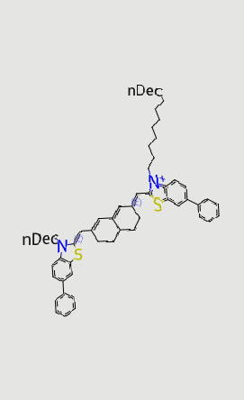 CCCCCCCCCCCCCCCCCC[n+]1c(/C=C2/C=C3C=C(/C=C4\Sc5cc(-c6ccccc6)ccc5N4CCCCCCCCCC)CCC3CC2)sc2cc(-c3ccccc3)ccc21